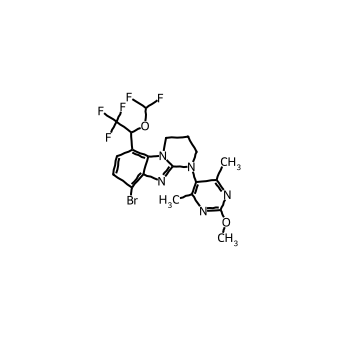 COc1nc(C)c(N2CCCn3c2nc2c(Br)ccc(C(OC(F)F)C(F)(F)F)c23)c(C)n1